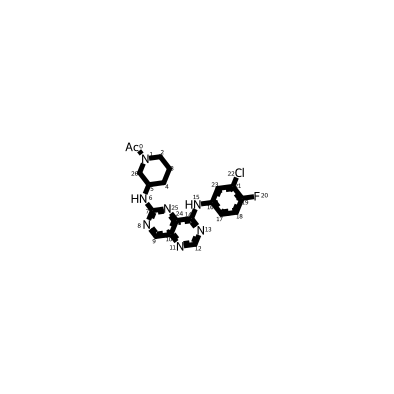 CC(=O)N1CCCC(Nc2ncc3ncnc(Nc4ccc(F)c(Cl)c4)c3n2)C1